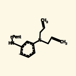 C=CCN(CC=C)c1cc[c]c(NCCCCC)c1